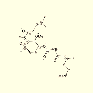 CNCCN(C)CC(=O)NC(=O)OC1CC[C@]2(CO2)C(C2(C)O[C@@H]2CC=C(C)C)C1OC